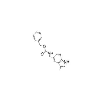 Cc1c[nH]c2ccc(CNC(=O)OCc3ccccc3)cc12